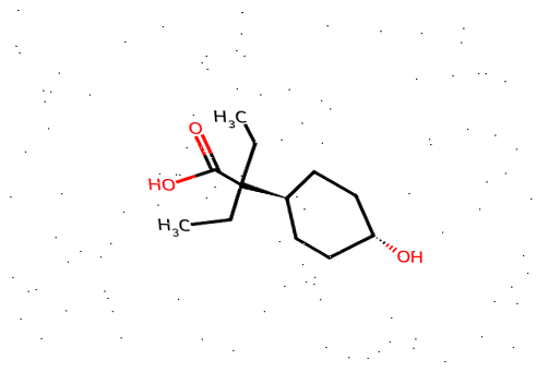 CCC(CC)(C(=O)O)[C@H]1CC[C@H](O)CC1